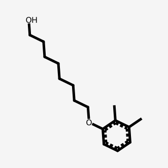 Cc1cccc(OCCCCCCCCO)c1C